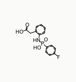 O=C(O)Cc1ccccc1NP(=O)(O)c1ccc(F)cc1